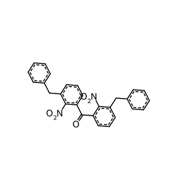 O=C(c1cccc(Cc2ccccc2)c1[N+](=O)[O-])c1cccc(Cc2ccccc2)c1[N+](=O)[O-]